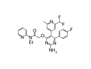 CCN(C(=O)COc1nc(N)nc(-c2ccc(F)cc2)c1-c1cc(C)nc(C(F)F)c1)c1ccccn1